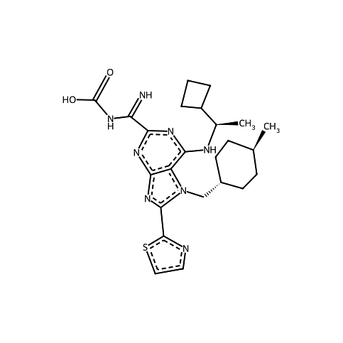 C[C@@H](Nc1nc(C(=N)NC(=O)O)nc2nc(-c3nccs3)n(C[C@H]3CC[C@H](C)CC3)c12)C1CCC1